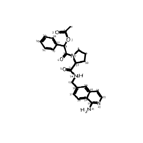 CC(=O)OC(C(=O)N1CCCC1C(=O)NCc1ccc2c(N)nccc2c1)c1ccccc1